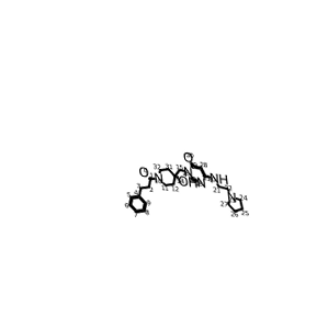 O=C(CCc1ccccc1)N1CCC(O)(Cn2cnc(NCCN3CCCC3)cc2=O)CC1